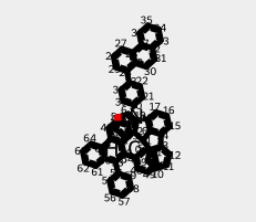 CC1(c2ccccc2)c2ccccc2-c2cccc(N(c3ccc(-c4cccc5c4ccc4ccccc45)cc3)c3ccc4c(c3)c(-c3ccccc3)c(-c3ccccc3)c3ccccc34)c21